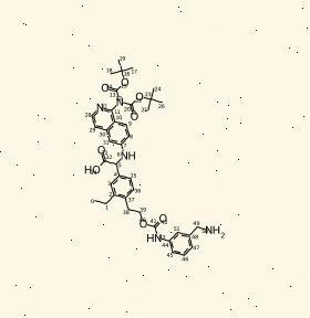 CCc1cc(C(Nc2ccc3c(N(C(=O)OC(C)(C)C)C(=O)OC(C)(C)C)nccc3c2)C(=O)O)ccc1CCOC(=O)Nc1cccc(CN)c1